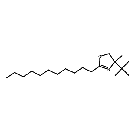 CCCCCCCCCCCC1=NC(C)(C(C)(C)C)CO1